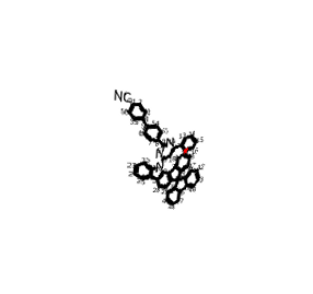 N#Cc1ccc(-c2ccc(-c3nc(-c4ccccc4)cc(-n4c5ccccc5c5ccc6c(c54)-c4ccccc4C64c5ccccc5-c5ccccc54)n3)cc2)cc1